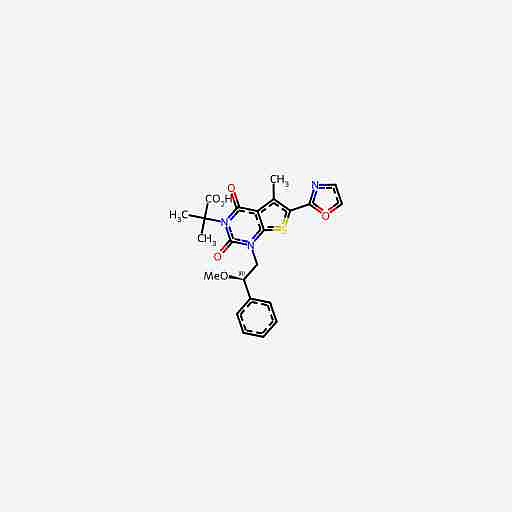 CO[C@@H](Cn1c(=O)n(C(C)(C)C(=O)O)c(=O)c2c(C)c(-c3ncco3)sc21)c1ccccc1